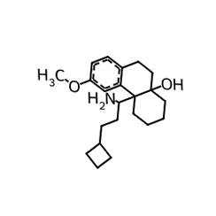 COc1ccc2c(c1)C1(C(N)CCC3CCC3)CCCCC1(O)CC2